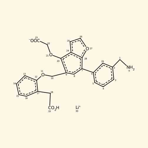 NCc1cccc(-c2cc(COc3ccccc3CC(=O)O)c(OCC(=O)[O-])c3ccoc23)c1.[Li+]